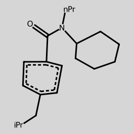 CCCN(C(=O)c1ccc(CC(C)C)cc1)C1CCCCC1